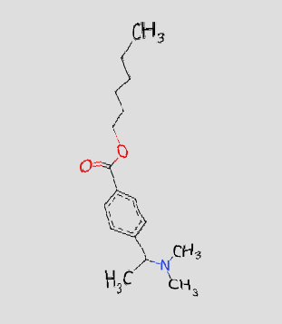 CCCCCCOC(=O)c1ccc(C(C)N(C)C)cc1